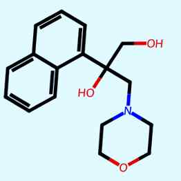 OCC(O)(CN1CCOCC1)c1cccc2ccccc12